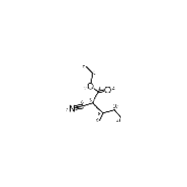 CCOC(=O)C(C#N)C(C)CC